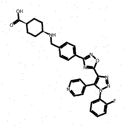 O=C(O)[C@H]1CC[C@@H](NCc2ccc(-c3noc(-c4nnn(-c5ccccc5F)c4-c4ccncc4)n3)cc2)CC1